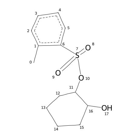 Cc1ccccc1S(=O)(=O)OC1CCCCC1O